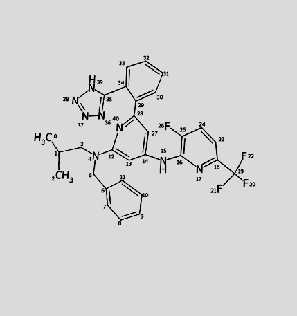 CC(C)CN(Cc1ccccc1)c1cc(Nc2nc(C(F)(F)F)ccc2F)cc(-c2ccccc2-c2nnn[nH]2)n1